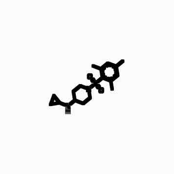 Cc1cc(C)c(S(=O)(=O)N2CCC(NC3CC3)CC2)c(C)c1